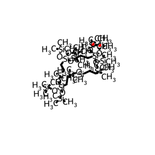 C[Si](C)(O)CC[SiH2]O[Si](C)(C)CC[Si](O[Si](C)(C)C)(O[Si](C)(C)C)O[Si](C)(C)CC[Si](O[Si](C)(C)C)(O[Si](C)(C)C)O[Si](C)(C)CC[Si](O[Si](C)(C)C)(O[Si](C)(C)C)O[Si](C)(C)C